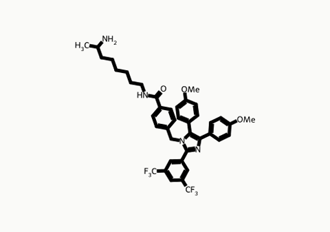 COc1ccc(-c2nc(-c3cc(C(F)(F)F)cc(C(F)(F)F)c3)n(Cc3ccc(C(=O)NCCCCCCC(C)N)cc3)c2-c2ccc(OC)cc2)cc1